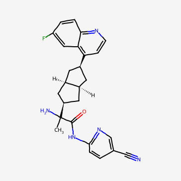 CC(N)(C(=O)Nc1ccc(C#N)cn1)[C@H]1C[C@H]2C[C@@H](c3ccnc4ccc(F)cc34)C[C@H]2C1